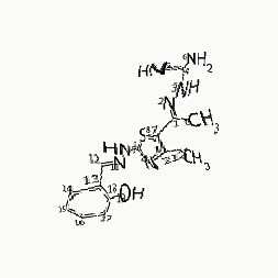 CC(=NNC(=N)N)c1sc(NN=Cc2ccccc2O)nc1C